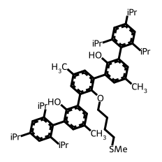 CSCCCCOc1c(-c2cc(C)cc(-c3c(C(C)C)cc(C(C)C)cc3C(C)C)c2O)cc(C)cc1-c1cc(C)cc(-c2c(C(C)C)cc(C(C)C)cc2C(C)C)c1O